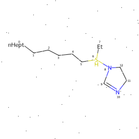 CCCCCCCCCCCC[SH](CC)N1C=NCC1